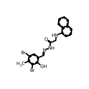 Cc1c(Br)cc(/C=N/NC(=O)CNc2cccc3ccccc23)c(O)c1Br